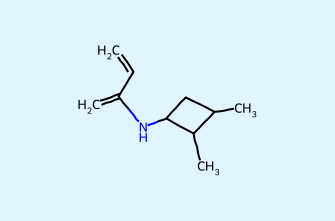 C=CC(=C)NC1CC(C)C1C